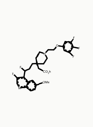 COc1ccc2ncc(F)c(C(F)CCC3(CC(=O)O)CCN(CCOc4cc(F)c(F)c(F)c4)CC3)c2c1